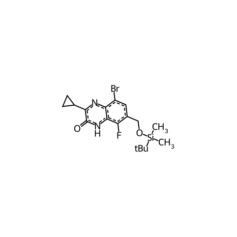 CC(C)(C)[Si](C)(C)OCc1cc(Br)c2nc(C3CC3)c(=O)[nH]c2c1F